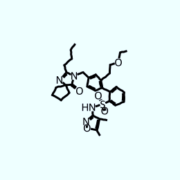 CCCCC1=NC2(CCCC2)C(=O)N1Cc1ccc(-c2ccccc2S(=O)(=O)Nc2noc(C)c2C)c(CCOCC)c1